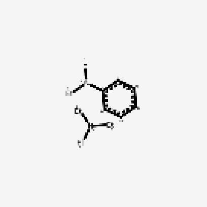 CCN(CC)CC.CCN(CC)c1ccccc1